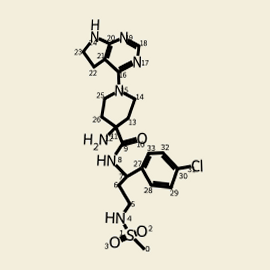 CS(=O)(=O)NCCC(NC(=O)C1(N)CCN(c2ncnc3c2CCN3)CC1)c1ccc(Cl)cc1